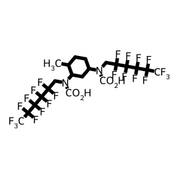 CC1CCC(N(CC(F)(F)C(F)(F)C(F)(F)C(F)(F)C(F)(F)F)C(=O)O)CC1N(CC(F)(F)C(F)(F)C(F)(F)C(F)(F)C(F)(F)F)C(=O)O